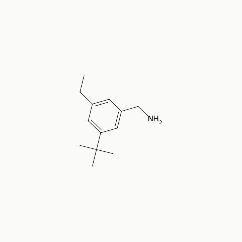 CCc1cc(CN)cc(C(C)(C)C)c1